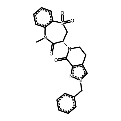 CN1C(=O)[C@@H](N2CCc3cn(Cc4ccccc4)nc3C2=O)CS(=O)(=O)c2ccccc21